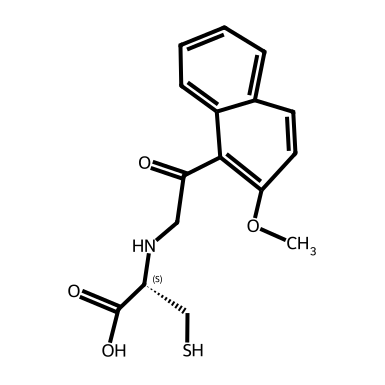 COc1ccc2ccccc2c1C(=O)CN[C@H](CS)C(=O)O